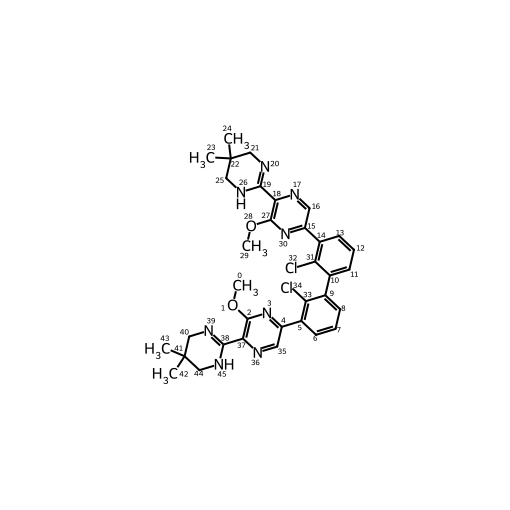 COc1nc(-c2cccc(-c3cccc(-c4cnc(C5=NCC(C)(C)CN5)c(OC)n4)c3Cl)c2Cl)cnc1C1=NCC(C)(C)CN1